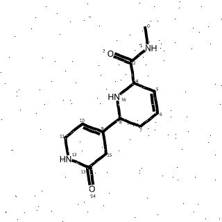 CNC(=O)C1C=CCC(C2=CCNC(=O)C2)N1